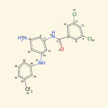 Nc1cc(NC(=O)c2cc(Cl)cc(Cl)c2)cc(Nc2cccc(C(F)(F)F)c2)c1